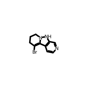 BrC1=C2c3ccncc3NN2CCC1